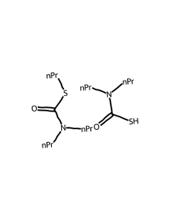 CCCN(CCC)C(=O)S.CCCSC(=O)N(CCC)CCC